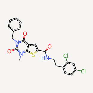 Cn1c(=O)n(Cc2ccccc2)c(=O)c2cc(C(=O)NCCc3ccc(Cl)cc3Cl)sc21